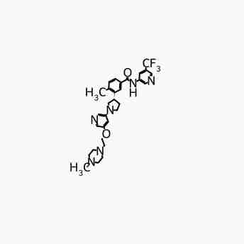 Cc1ccc(C(=O)Nc2cncc(C(F)(F)F)c2)cc1[C@@H]1CCN(c2cncc(OCCN3CCN(C)CC3)c2)C1